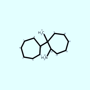 CC1(C2CCCCCC2)CCCCCC1N